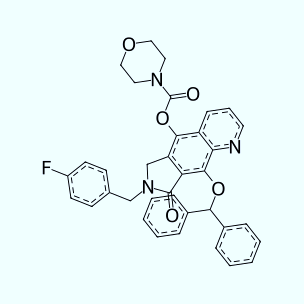 O=C(Oc1c2c(c(OC(c3ccccc3)c3ccccc3)c3ncccc13)C(=O)N(Cc1ccc(F)cc1)C2)N1CCOCC1